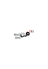 CCOc1ccc(CCC[C@@H](C=O)[C@H](OC)C(=O)O)cc1